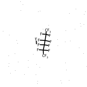 FC(F)(F)C(F)(F)C(F)(F)C(F)(F)C(F)(F)C(F)(F)F.[C]F